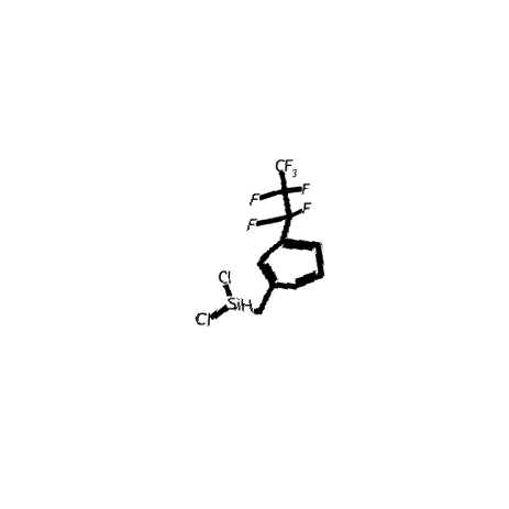 FC(F)(F)C(F)(F)C(F)(F)c1cccc(C[SiH](Cl)Cl)c1